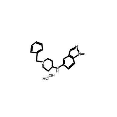 Cl.Cl.Cn1ncc2cc(NC3CCN(Cc4ccccc4)CC3)ccc21